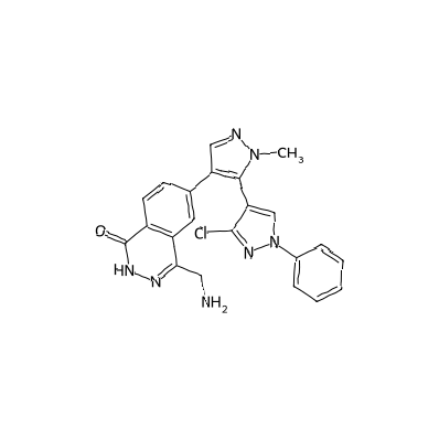 Cn1ncc(-c2ccc3c(=O)[nH]nc(CN)c3c2)c1-c1cn(-c2ccccc2)nc1Cl